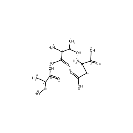 CC(O)C(N)C(=O)O.NC(CC(=O)O)C(=O)O.NC(CO)C(=O)O